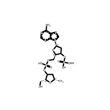 COP(=O)(O)OC1C[C@H](n2cnc3c(N)ncnc32)O[C@@H]1COP(=O)(O)OC1C[C@H](C)O[C@@H]1CO